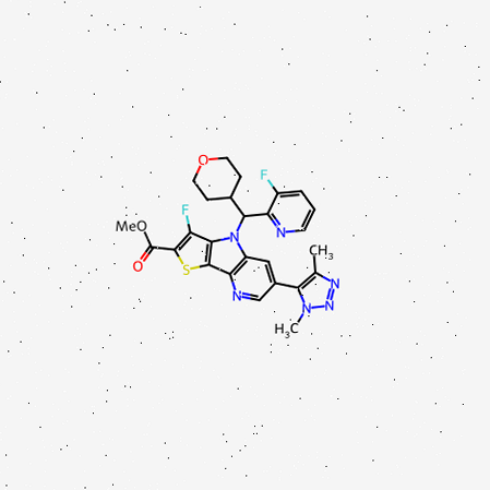 COC(=O)c1sc2c3ncc(-c4c(C)nnn4C)cc3n(C(c3ncccc3F)C3CCOCC3)c2c1F